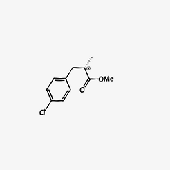 COC(=O)[C@@H](C)Cc1ccc(Cl)cc1